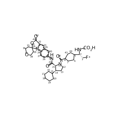 O=C(O)N[C@H](CF)C1CCC(C(=O)N2CC[C@@H](C3CCCCC3)[C@H]2C(=O)Nc2ccc3c(c2)cc2n3C3(CCOCC3)OC2=O)CC1